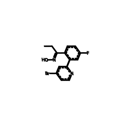 CCC(=NO)c1ccc(F)cc1-c1cc(Br)ccn1